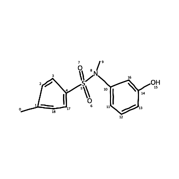 Cc1ccc(S(=O)(=O)N(C)c2cccc(O)c2)cc1